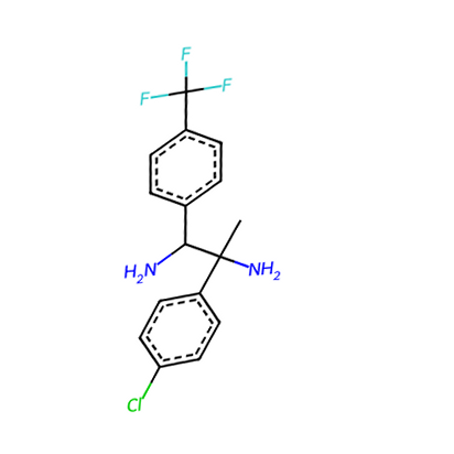 CC(N)(c1ccc(Cl)cc1)C(N)c1ccc(C(F)(F)F)cc1